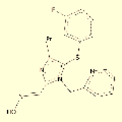 CC(C)c1nc(C=NO)n(Cc2ccccn2)c1Sc1cccc(F)c1